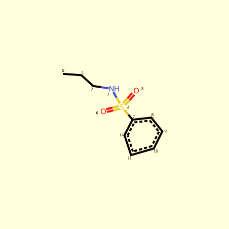 CCCNS(=O)(=O)c1[c]cccc1